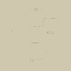 Cl.O=C(c1c(F)cccc1F)C1CCNCC1